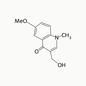 COc1ccc2c(c1)c(=O)c(CO)cn2C